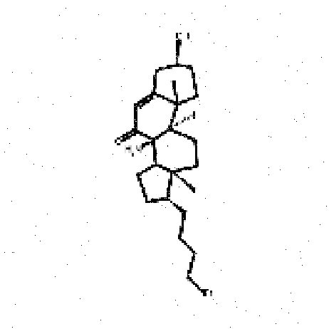 CC(C)CCCC[C@H]1CCC2[C@]1(C)CC[C@@H]1[C@@]3(C)CC[C@H](O)CC3=CC(=O)[C@@]21N